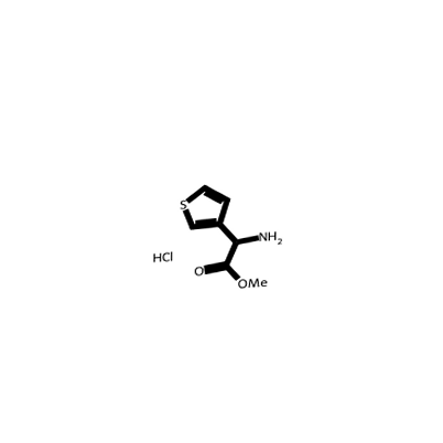 COC(=O)C(N)c1ccsc1.Cl